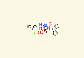 CCC1(C(=O)NC(CC(=O)O)C(=O)CF)CC(C(=O)Nc2ccccc2-c2ccccc2)=NO1